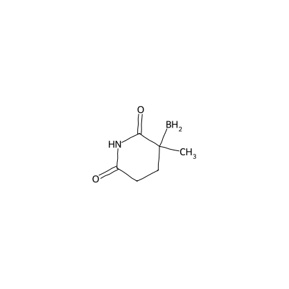 BC1(C)CCC(=O)NC1=O